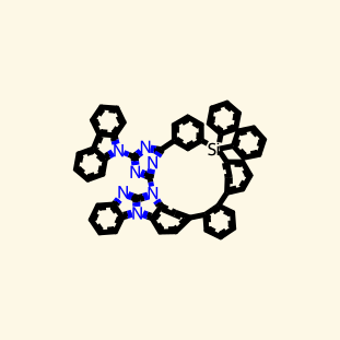 c1ccc([Si]2(c3ccccc3)c3cccc(c3)-c3nc(-n4c5ccccc5c5ccccc54)nc(n3)-n3c4cc(ccc4n4c5ccccc5nc34)-c3ccccc3-c3cccc2c3)cc1